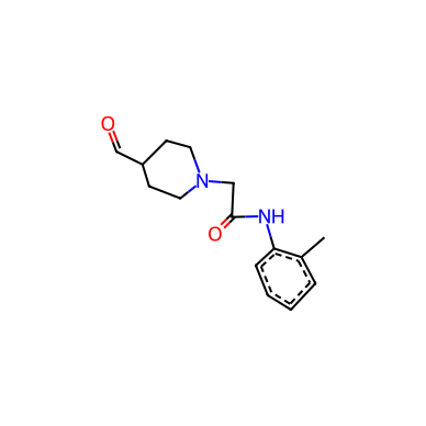 Cc1ccccc1NC(=O)CN1CCC(C=O)CC1